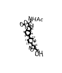 CC(=O)NC[C@@H]1OC(=O)N2c3ccc(-c4ccc(-c5cc(CO)on5)nc4)cc3C[C@@H]12